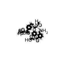 CC(=O)N[C@H](C)C(=O)N1CCc2ccc(C(N)=O)cc21.NCc1cccc(C(=O)N(CC(=O)O)c2ccccc2)c1.O=C(O)C(F)(F)F